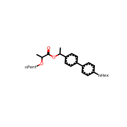 CCCCCCc1ccc(-c2ccc(C(C)OC(=O)C(C)OCCCCC)cc2)cc1